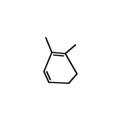 CC1=C(C)CCC=C1